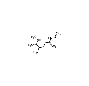 C=CNC(=C)CCC(C)C(=C)NC